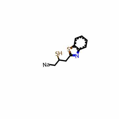 [Na][CH2]C(S)Cc1nc2ccccc2s1